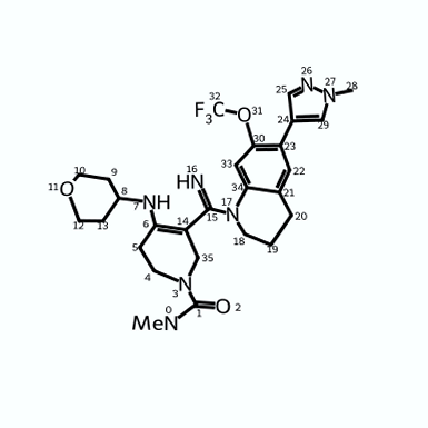 CNC(=O)N1CCC(NC2CCOCC2)=C(C(=N)N2CCCc3cc(-c4cnn(C)c4)c(OC(F)(F)F)cc32)C1